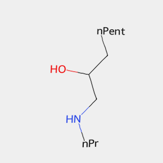 CCCCCCC(O)CNCCC